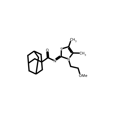 COCCn1c(C)c(C)s/c1=N\C(=O)C12CC3CC(CC(C3)C1)C2